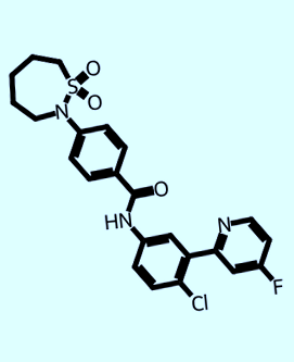 O=C(Nc1ccc(Cl)c(-c2cc(F)ccn2)c1)c1ccc(N2CCCCCS2(=O)=O)cc1